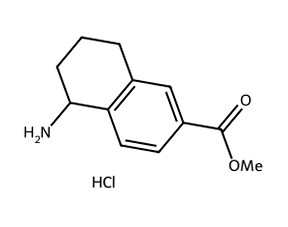 COC(=O)c1ccc2c(c1)CCCC2N.Cl